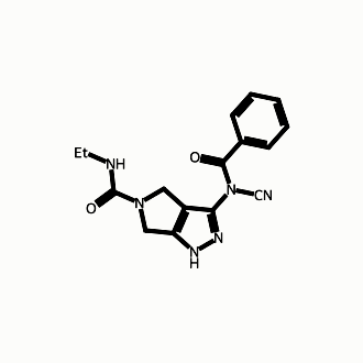 CCNC(=O)N1Cc2[nH]nc(N(C#N)C(=O)c3ccccc3)c2C1